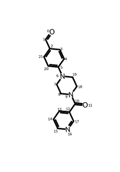 O=Cc1ccc(N2CCN(C(=O)c3cccnc3)CC2)cc1